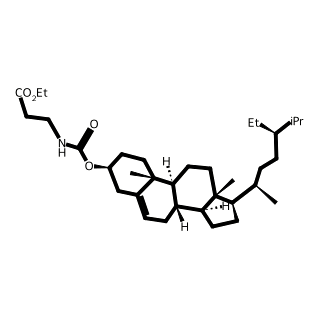 CCOC(=O)CCNC(=O)O[C@H]1CC[C@@]2(C)C(=CC[C@H]3[C@@H]4CC[C@H]([C@H](C)CC[C@@H](CC)C(C)C)[C@@]4(C)CC[C@@H]32)C1